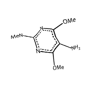 CNc1nc(OC)c(N)c(OC)n1